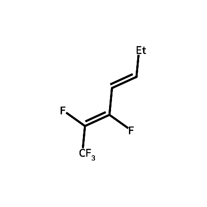 CCC=CC(F)=C(F)C(F)(F)F